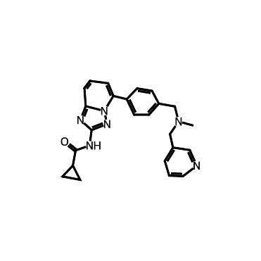 CN(Cc1ccc(-c2cccc3nc(NC(=O)C4CC4)nn23)cc1)Cc1cccnc1